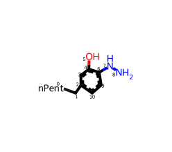 CCCCCCc1[c]c(O)c(NN)cc1